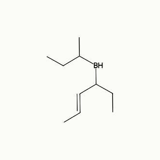 CC=CC(BC(C)CC)CC